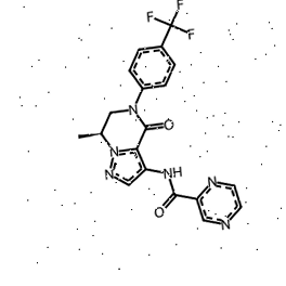 C[C@H]1CN(c2ccc(C(F)(F)F)cc2)C(=O)c2c(NC(=O)c3cnccn3)cnn21